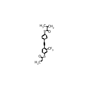 C=CC(=O)Sc1ccc(C#Cc2ccc(SC(=O)C(=C)C)cc2)c(C(F)(F)F)c1